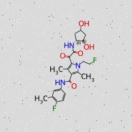 Cc1cc(NC(=O)c2c(C)c(C(=O)C(=O)N[C@@H]3CC(O)C[C@H]3O)n(CCF)c2C)ccc1F